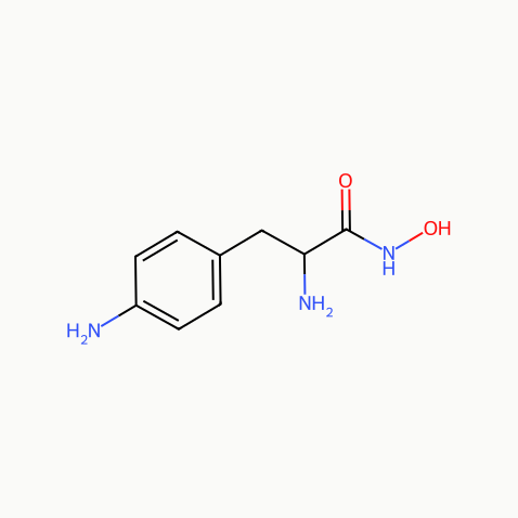 Nc1ccc(CC(N)C(=O)NO)cc1